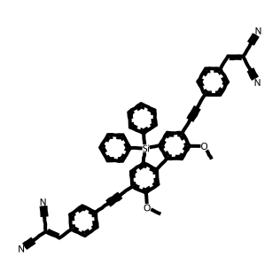 COc1cc2c(cc1C#Cc1ccc(C=C(C#N)C#N)cc1)[Si](c1ccccc1)(c1ccccc1)c1cc(C#Cc3ccc(C=C(C#N)C#N)cc3)c(OC)cc1-2